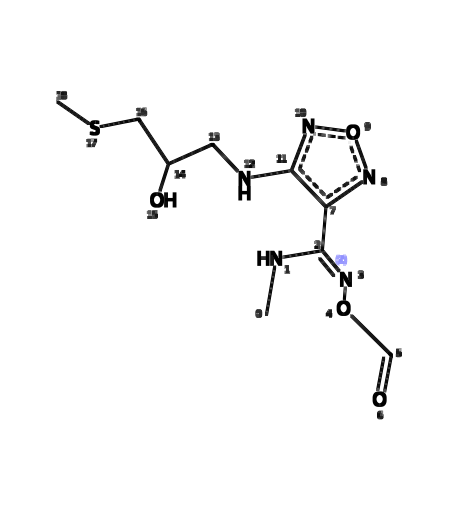 CN/C(=N\OC=O)c1nonc1NCC(O)CSC